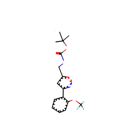 CC(C)(C)OC(=O)NCc1cc(-c2ccccc2OC(F)(F)F)no1